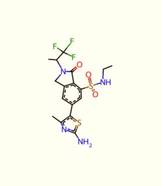 CCNS(=O)(=O)c1cc(-c2sc(N)nc2C)cc2c1C(=O)N(C(C)C(F)(F)F)C2